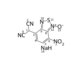 N#CC(C#N)c1ccc([N+](=O)[O-])c2c1ns[n+]2[O-].[NaH]